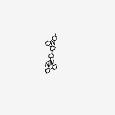 Cc1ccc2c(c1)c1cccc3c4cc(-c5ccc(-c6cnc7c8ccccc8c8ccccc8c7n6)cc5)ccc4n2c13